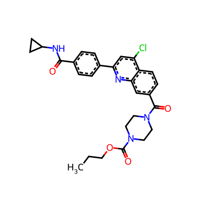 CCCOC(=O)N1CCN(C(=O)c2ccc3c(Cl)cc(-c4ccc(C(=O)NC5CC5)cc4)nc3c2)CC1